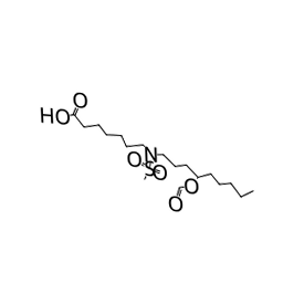 CCCCCC(CCCN(CCCCCCC(=O)O)S(C)(=O)=O)OC=O